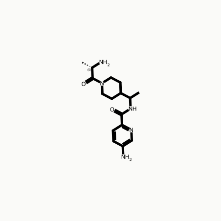 CC(NC(=O)c1ccc(N)cn1)C1CCN(C(=O)[C@H](C)N)CC1